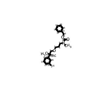 CC(=O)C(C)(COCCCN(C)C(=O)OCc1ccccc1)c1cccc(I)c1